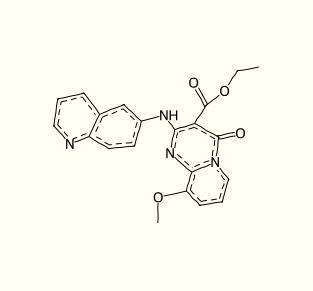 CCOC(=O)c1c(Nc2ccc3ncccc3c2)nc2c(OC)cccn2c1=O